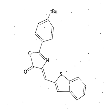 CC(C)(C)c1ccc(C2=NC(=Cc3cc4ccccc4s3)C(=O)O2)cc1